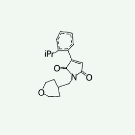 CC(C)c1ccccc1C1=CC(=O)N(CC2CCOCC2)C1=O